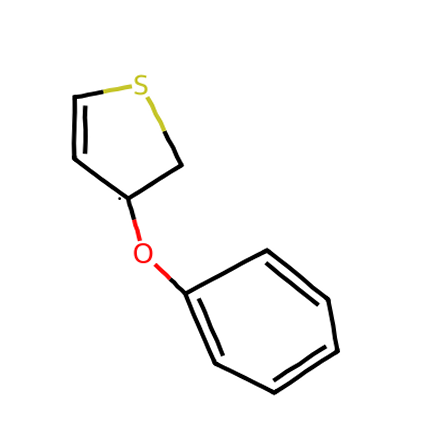 C1=C[C](Oc2ccccc2)CS1